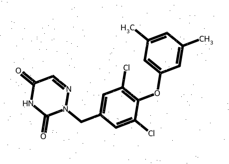 Cc1cc(C)cc(Oc2c(Cl)cc(Cn3ncc(=O)[nH]c3=O)cc2Cl)c1